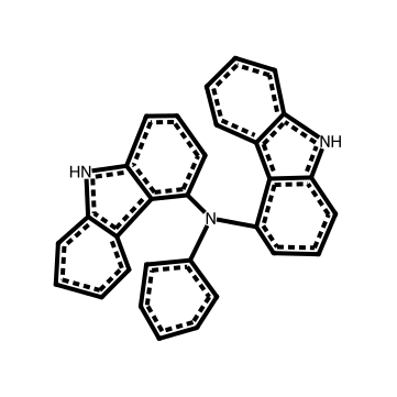 c1ccc(N(c2cccc3[nH]c4ccccc4c23)c2cccc3[nH]c4ccccc4c23)cc1